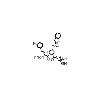 CCCCCCCCC[C@H](NCc1cccc(F)c1)C(=O)N1C[C@H](OC(=O)N2Cc3ccccc3C2)C[C@H]1C(=O)NCB(O)O